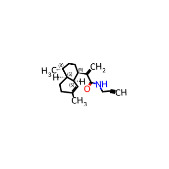 C#CCNC(=O)C(=C)[C@@H]1CC[C@@H](C)[C@@H]2CCC(C)=C[C@@H]21